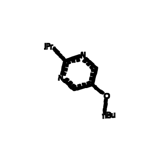 CCCCOc1cnc(C(C)C)nc1